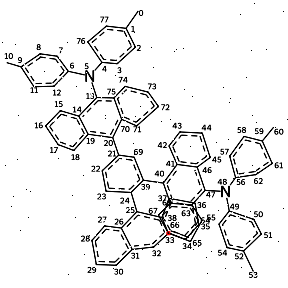 Cc1ccc(N(c2ccc(C)cc2)c2c3ccccc3c(-c3ccc(-c4c5ccccc5cc5ccccc45)c(-c4c5ccccc5c(N(c5ccc(C)cc5)c5ccc(C)cc5)c5ccccc45)c3)c3ccccc23)cc1